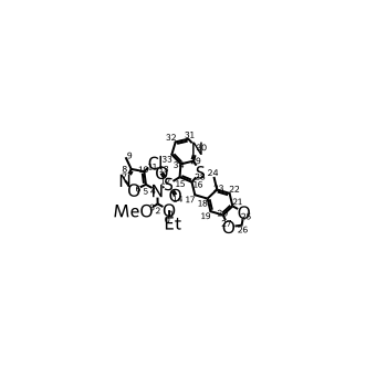 CCOC(OC)N(c1onc(C)c1Cl)S(=O)(=O)c1c(Cc2cc3c(cc2C)OCO3)sc2ncccc12